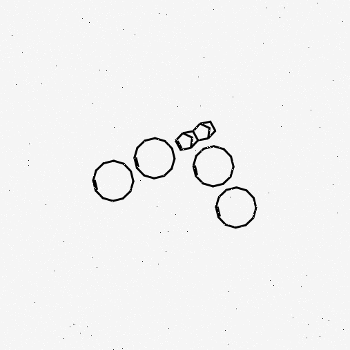 C1=CC2CC1C1C3CCC(C3)C21.C1=CCCCCCCCCCC1.C1=CCCCCCCCCCC1.C1=CCCCCCCCCCC1.C1=CCCCCCCCCCC1